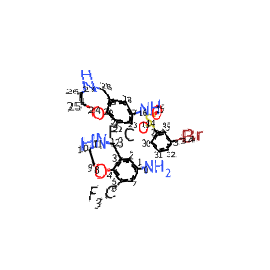 Nc1cc2c(c(C(F)(F)F)c1)OCCNC2.O=S(=O)(Nc1cc2c(c(C(F)(F)F)c1)OCCNC2)c1cccc(Br)c1